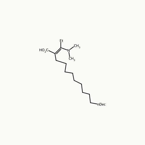 CCCCCCCCCCCCCCCCCCCC(C(=O)O)=C(CC)N(C)C